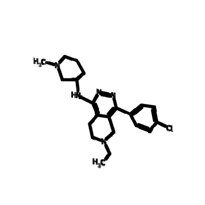 CCN1CCc2c(NC3CCCN(C)C3)nnc(-c3ccc(Cl)cc3)c2C1